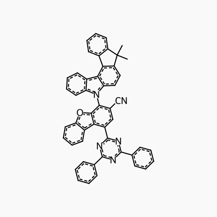 CC1(C)c2ccccc2-c2c1ccc1c2c2ccccc2n1-c1c(C#N)cc(-c2nc(-c3ccccc3)nc(-c3ccccc3)n2)c2c1oc1ccccc12